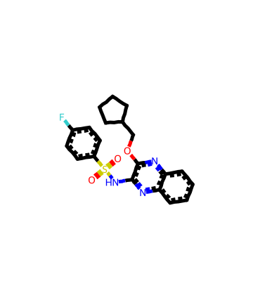 O=S(=O)(Nc1nc2ccccc2nc1OCC1CCCC1)c1ccc(F)cc1